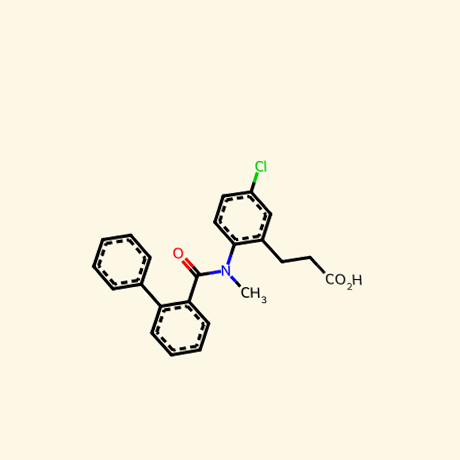 CN(C(=O)c1ccccc1-c1ccccc1)c1ccc(Cl)cc1CCC(=O)O